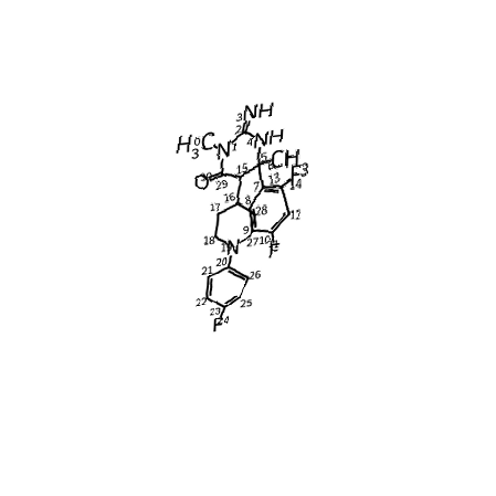 CN1C(=N)NC(C)(c2ccc(F)cc2F)C(C2CCN(c3ccc(F)cc3)CC2)C1=O